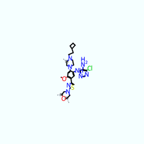 COc1cc(N2CCN(CCC3CCC3)[C@@H](C)C2)c(Nc2ncnc(Cl)c2N)cc1-c1csc(N2C[C@@H](C)O[C@@H](C)C2)n1